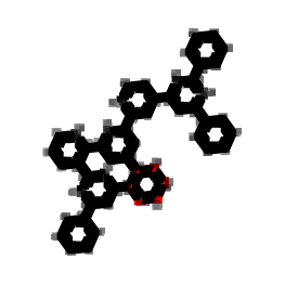 c1ccc(-c2cc(-c3cc(-c4cc(-c5ccccc5)nc(-c5ccccc5)n4)ccn3)nc(-c3ncccc3-c3nc(-c4ccccc4)cc(-c4ccccc4)n3)c2)cc1